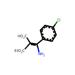 CCOC(=O)C(C(=O)O)=C(N)c1ccc(Cl)cc1